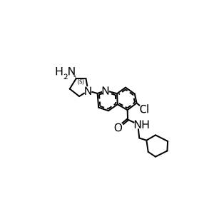 N[C@H]1CCN(c2ccc3c(C(=O)NCC4CCCCC4)c(Cl)ccc3n2)C1